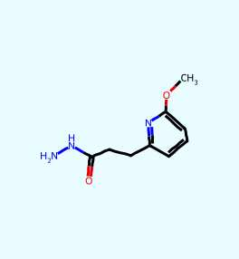 COc1cccc(CCC(=O)NN)n1